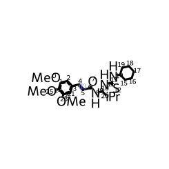 COc1cc(/C=C/C(=O)NC(NC(=S)NC2CCCCC2)C(C)C)cc(OC)c1OC